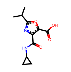 CC(C)c1nc(C(=O)NC2CC2)c(C(=O)O)o1